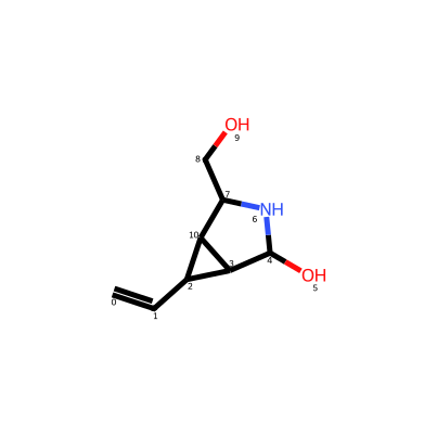 C=CC1C2C(O)NC(CO)C12